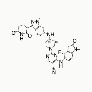 C[C@@H]1CN(c2ncc(C#N)c(Nc3ccc4c(c3F)CC(=O)N4C)n2)CC[C@H]1Nc1ccc2c(C3CCC(=O)NC3=O)nn(C)c2c1